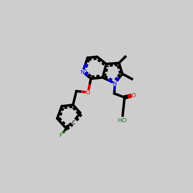 CC(=O)Cn1c(C)c(C)c2ccnc(OCc3ccc(F)cc3)c21.Cl